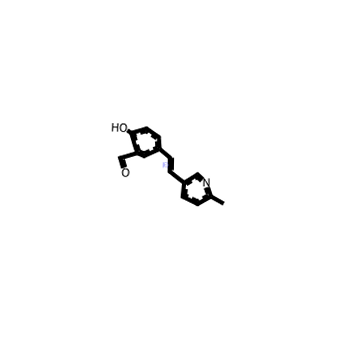 Cc1ccc(/C=C/c2ccc(O)c(C=O)c2)cn1